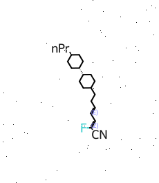 CCC[C@H]1CC[C@H](C2CCC(CC/C=C/C=C(\F)C#N)CC2)CC1